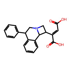 O=C(O)/C=C(/C(=O)O)C1CN2CC(c3ccccc3)c3ccccc3C12